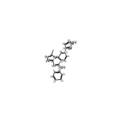 Cc1nnc2nc(Nc3ccccc3)c3ccc(-c4cc[nH]n4)cc3n12